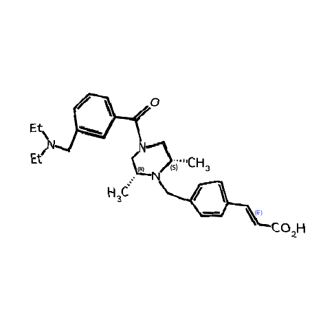 CCN(CC)Cc1cccc(C(=O)N2C[C@@H](C)N(Cc3ccc(/C=C/C(=O)O)cc3)[C@@H](C)C2)c1